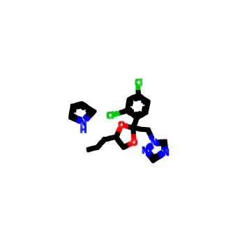 CCCC1COC(Cn2cncn2)(c2ccc(Cl)cc2Cl)O1.c1cc[nH]c1